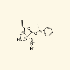 C=CC[C@@H]1CNC[C@]1(N=[N+]=[N-])C(=O)O[C@H](C)c1ccccc1